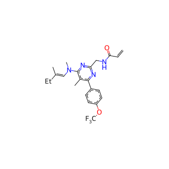 C=CC(=O)NCc1nc(-c2ccc(OC(F)(F)F)cc2)c(C)c(N(C)/C=C(\C)CC)n1